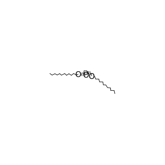 CCCCCCCCCCCCOC[C@H]1CC[C@@H](COCCCCCCCCCCCC)O1